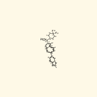 Cn1cc2cc(-c3ccc4cc([C@@H](O)C5CCC(F)(F)CC5)sc4n3)cnc2n1